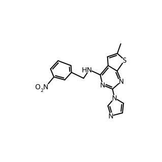 Cc1cc2c(NCc3cccc([N+](=O)[O-])c3)nc(-n3ccnc3)nc2s1